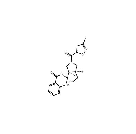 Cc1cc(C(=O)N2C[C@H]3CC[C@]4(NC(=O)c5ccccc5N4)[C@H]3C2)on1